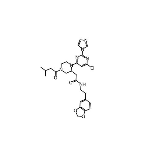 CC(C)CC(=O)N1CCN(c2cc(Cl)nc(-n3ccnc3)n2)C(CC(=O)NCCc2ccc3c(c2)OCO3)C1